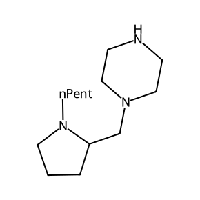 CCCCCN1CCCC1CN1CCNCC1